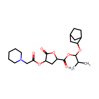 CC(C)C(OC(=O)C1CC(OC(=O)CN2CCCCC2)C(=O)O1)OC1CC2CCC1C2